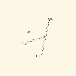 CCCCCCCCP(CCCCCCCC)CCCCCCCC.F